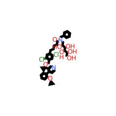 O=C(CCCCc1cc(Cl)c(COC2(c3cnccc3-c3ccccc3OC3CC3)CC2)cc1Cl)N(Cc1ccccc1)CC(O)C(O)C(O)C(O)CO